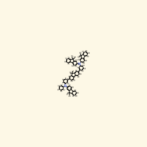 CC1(C)c2cc(-c3cccc(N(c4ccccc4)c4ccc5c(c4)C(C)(C)c4ccccc4-5)c3)ccc2-c2ccc(-c3cccc(N(c4ccc5c(c4)C(C)(C)c4ccccc4-5)c4ccc5c(c4)C(C)(C)c4ccccc4-5)c3)cc21